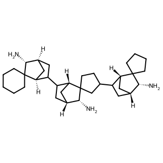 N[C@@H]1[C@@H]2CC(C3CCC4(C3)[C@@H]3C[C@@H](CC3C3C[C@H]5C[C@@H]3C3(CCCCC3)[C@@H]5N)[C@H]4N)[C@@H](C2)C12CCCC2